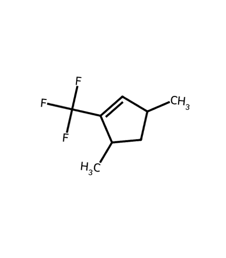 CC1C=C(C(F)(F)F)C(C)C1